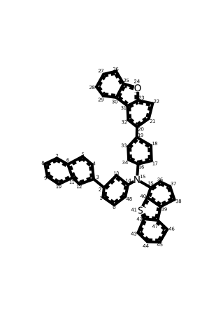 c1cc(-c2ccc3ccccc3c2)cc(N(c2ccc(-c3ccc4oc5ccccc5c4c3)cc2)c2cccc3c2sc2ccccc23)c1